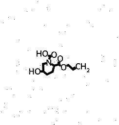 C=CCOC(=O)C1CCC(O)CN1C(=O)O